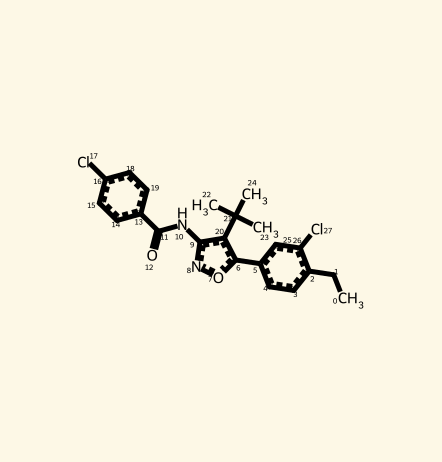 CCc1ccc(-c2onc(NC(=O)c3ccc(Cl)cc3)c2C(C)(C)C)cc1Cl